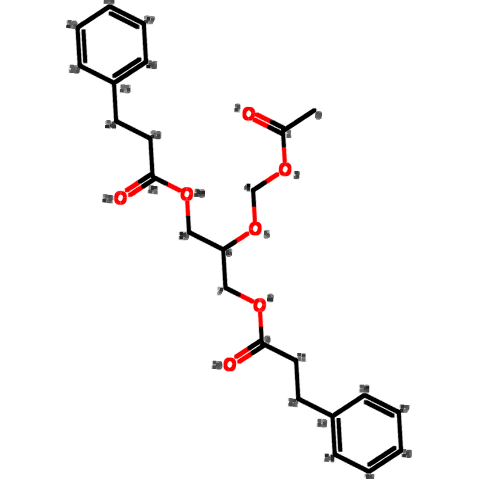 CC(=O)OCOC(COC(=O)CCc1ccccc1)COC(=O)CCc1ccccc1